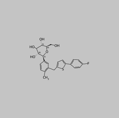 Cc1ccc([C@@H]2O[C@H](CO)[C@@H](O)C(O)[C@H]2O)cc1Cc1ccc(-c2ccc(F)cc2)s1